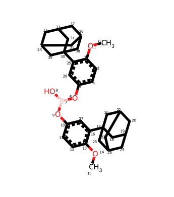 COc1ccc(OB(O)Oc2ccc(OC)c(C34CC5CC(CC(C5)C3)C4)c2)cc1C12CC3CC(CC(C3)C1)C2